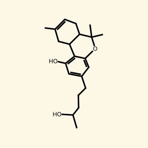 CC1=CCC2C(C1)c1c(O)cc(CCCC(C)O)cc1OC2(C)C